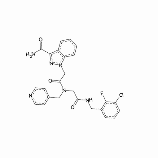 NC(=O)c1nn(CC(=O)N(CC(=O)NCc2cccc(Cl)c2F)Cc2ccncc2)c2ccccc12